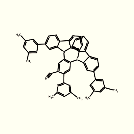 Cc1cc(C)cc(-c2ccc3c4ccccc4n(-c4cc(C#N)c(-c5nc(C)cc(C)n5)cc4-n4c5ccccc5c5ccc(-c6cc(C)cc(C)c6)cc54)c3c2)c1